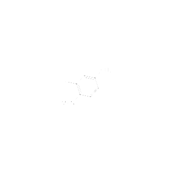 CCc1cc(C)ccc1NC